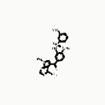 COc1cccc(S(=O)(=O)Nc2cc(C(=O)c3cn(C(C)C)c4ncnc(N)c34)ccc2OC)c1